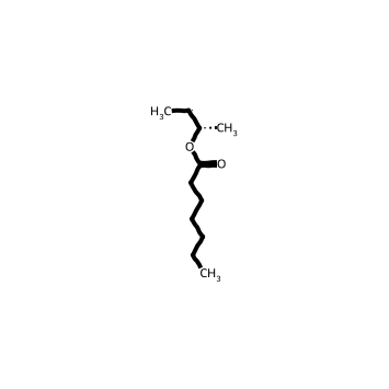 C[CH][C@H](C)OC(=O)CCCCCC